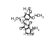 CCOc1cc([C@@H](CSC)N2C(=O)c3ccc(F)c(N)c3C2=O)ccc1OC